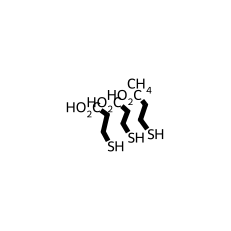 C.O=C(O)CCS.O=C(O)CCS.O=C(O)CCS